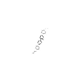 CCCCC[C@H]1CC[C@H](c2ccc(-c3ccc([C@H]4CC[C@H](CCCF)CC4)cc3)c(F)c2)CC1